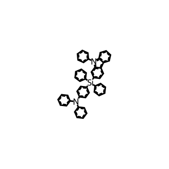 c1ccc(N(c2ccccc2)c2ccc([Si](c3ccccc3)(c3ccccc3)c3ccc4c5ccccc5n(-c5ccccc5)c4c3)cc2)cc1